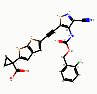 N#Cc1nsc(C#Cc2cc3cc(C4(C(=O)O)CC4)sc3s2)c1NC(=O)OCc1ccccc1Cl